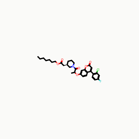 CCCCCCCOC(=O)C[C@H]1CCCN(C(=O)C(C)Oc2ccc3c(-c4ccc(F)cc4Cl)cc(=O)oc3c2)C1